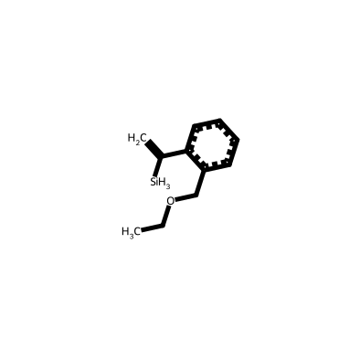 C=C([SiH3])c1ccccc1COCC